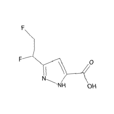 O=C(O)c1cc(C(F)CF)n[nH]1